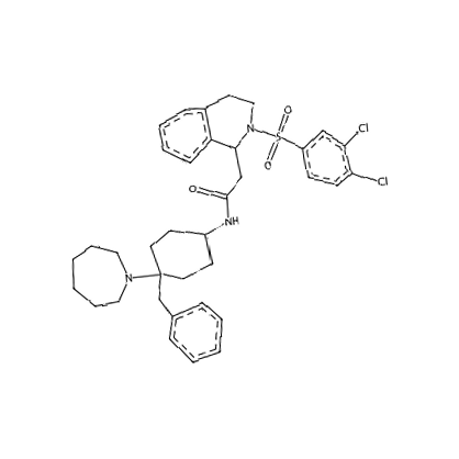 O=C(CC1c2ccccc2CCN1S(=O)(=O)c1ccc(Cl)c(Cl)c1)NC1CCC(Cc2ccccc2)(N2CCCCCC2)CC1